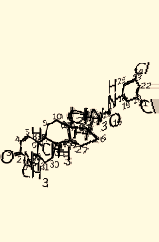 CN1C(=O)C=C[C@]2(C)[C@H]3CC[C@]4(C)[C@@H](NC(=O)Nc5cc(Cl)cc(Cl)c5)CC[C@H]4[C@@H]3CC[C@@H]12